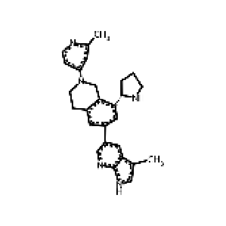 Cc1cc(N2CCc3cc(-c4cnc5[nH]cc(C)c5c4)cc([C@@H]4CCCN4)c3C2)ccn1